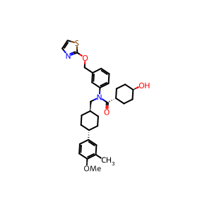 COc1ccc([C@H]2CC[C@H](CN(c3cccc(COc4nccs4)c3)C(=O)[C@H]3CC[C@H](O)CC3)CC2)cc1C